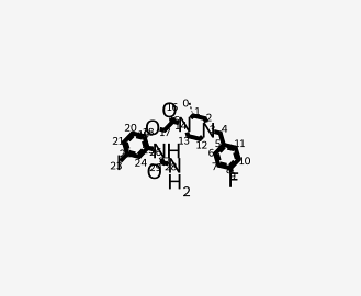 C[C@@H]1CN(Cc2ccc(F)cc2)CCN1C(=O)COc1ccc(I)cc1NC(N)=O